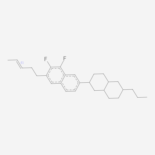 C/C=C/CCc1cc2ccc(C3CCC4CC(CCC)CCC4C3)cc2c(F)c1F